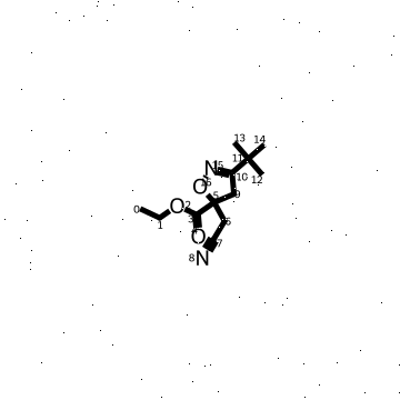 CCOC(=O)C1(CC#N)CC(C(C)(C)C)=NO1